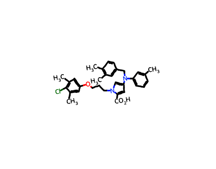 Cc1cccc(N(Cc2ccc(C)c(C)c2)c2cc(C(=O)O)n(CCCOc3cc(C)c(Cl)c(C)c3)c2)c1